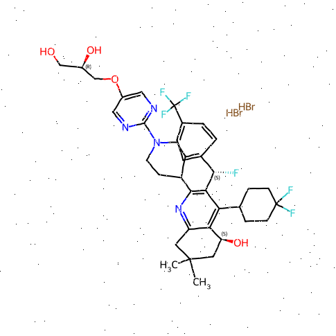 Br.Br.CC1(C)Cc2nc(C3CCN(c4ncc(OC[C@H](O)CO)cn4)CC3)c([C@@H](F)c3ccc(C(F)(F)F)cc3)c(C3CCC(F)(F)CC3)c2[C@@H](O)C1